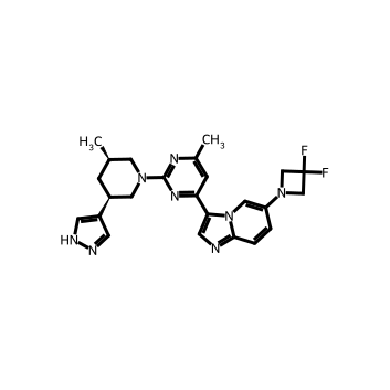 Cc1cc(-c2cnc3ccc(N4CC(F)(F)C4)cn23)nc(N2C[C@H](C)C[C@H](c3cn[nH]c3)C2)n1